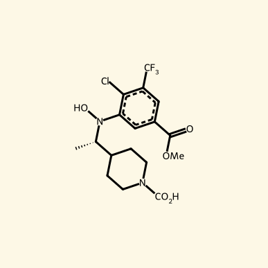 COC(=O)c1cc(N(O)[C@@H](C)C2CCN(C(=O)O)CC2)c(Cl)c(C(F)(F)F)c1